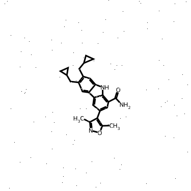 Cc1noc(C)c1-c1cc(C(N)=O)c2[nH]c3cc(CC4CC4)c(CC4CC4)cc3c2c1